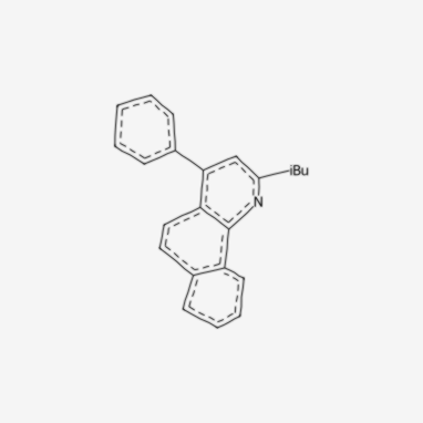 CCC(C)c1cc(-c2ccccc2)c2ccc3ccccc3c2n1